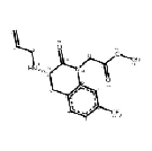 C=CCN[C@H]1Cc2ccc(C(F)(F)F)cc2N(CC(=O)OC(C)(C)C)C1=O